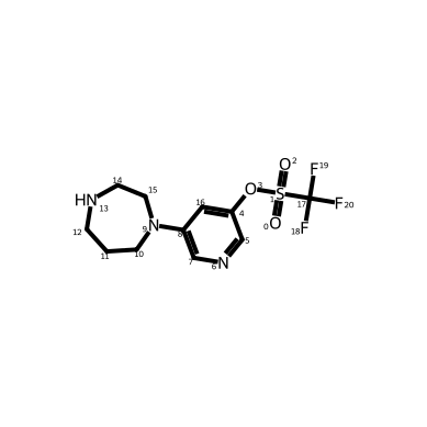 O=S(=O)(Oc1cncc(N2CCCNCC2)c1)C(F)(F)F